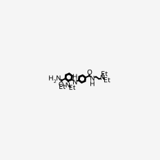 CCN(CC)CCNC(=O)c1ccc(Nc2cccc(C(N)=O)c2N(CC)CC)cc1